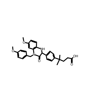 COc1ccc(CN2C(=O)C(c3ccc(C(C)(C)CCC(=O)O)cc3)Nc3ccc(OC)cc32)cc1